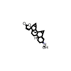 CC[C@]12CCC3C(C4CC4C4=C/C(=N/O)CC[C@@H]43)C1C1CC1[C@@]21C=CC(=O)O1